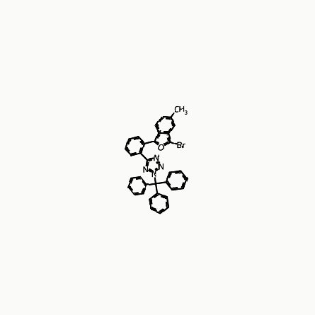 Cc1ccc2c(-c3ccccc3-c3nnn(C(c4ccccc4)(c4ccccc4)c4ccccc4)n3)oc(Br)c2c1